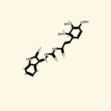 COc1ccc(/C=C/C(=O)NC(=O)N/N=C2\C(=O)Nc3ccccc32)c(OC)c1OC